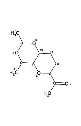 CC1OC(C)C2OC(C(=O)O)CCC2O1